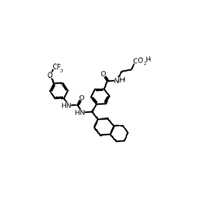 O=C(O)CCNC(=O)c1ccc(C(NC(=O)Nc2ccc(OC(F)(F)F)cc2)C2CCC3CCCCC3C2)cc1